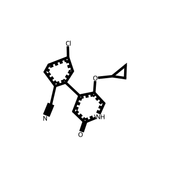 N#Cc1ccc(Cl)cc1-c1cc(=O)[nH]cc1OC1CC1